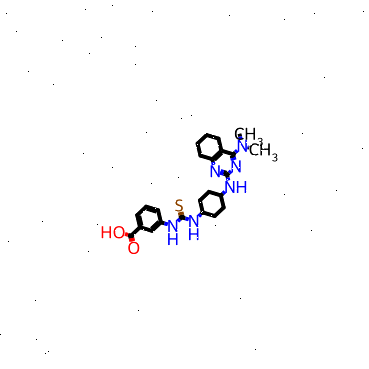 CN(C)c1nc(NC2CCC(NC(=S)Nc3cccc(C(=O)O)c3)CC2)nc2c1CCCC2